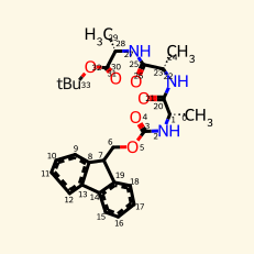 C[C@H](NC(=O)OCC1c2ccccc2-c2ccccc21)C(=O)N[C@@H](C)C(=O)N[C@@H](C)C(=O)OC(C)(C)C